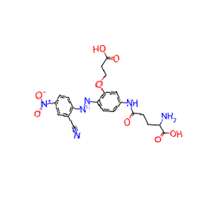 N#Cc1cc([N+](=O)[O-])ccc1/N=N/c1ccc(NC(=O)CCC(N)C(=O)O)cc1OCCC(=O)O